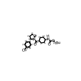 CC(C)(C)OC(=O)N[C@H]1CC[C@@H](C(=O)N2OCC[C@H]2c2ccc(Cl)cc2)CC1